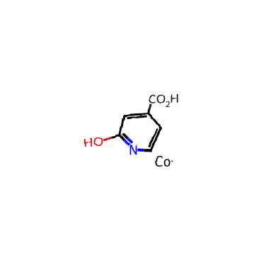 O=C(O)c1ccnc(O)c1.[Co]